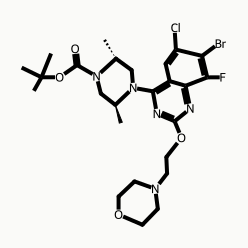 C[C@@H]1CN(c2nc(OCCN3CCOCC3)nc3c(F)c(Br)c(Cl)cc23)[C@@H](C)CN1C(=O)OC(C)(C)C